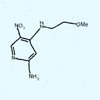 COCCNc1cc(N)ncc1[N+](=O)[O-]